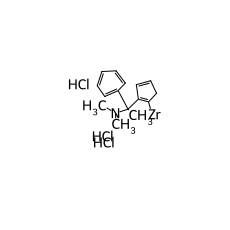 CN(C)C(C)(C1=[C]([Zr])CC=C1)c1ccccc1.Cl.Cl.Cl